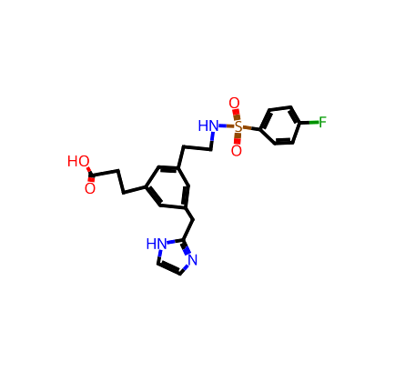 O=C(O)CCc1cc(CCNS(=O)(=O)c2ccc(F)cc2)cc(Cc2ncc[nH]2)c1